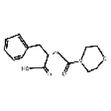 O=C(O)[C@@H](CC(=O)N1CCOCC1)Cc1ccccc1